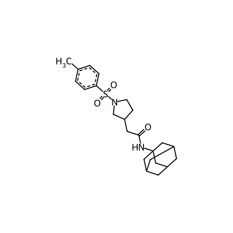 Cc1ccc(S(=O)(=O)N2CCC(CC(=O)NC34CC5CC(CC(C5)C3)C4)C2)cc1